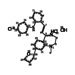 CN1CCN=C(C=Cc2ccccc2Sc2ccc(Cl)cc2)c2ccc(-c3ccco3)cc21.Cl.Cl